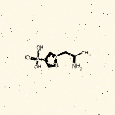 C[C@@H](N)Cn1cc(P(=O)(O)O)cn1